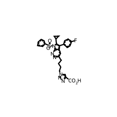 O=C(O)c1cn(CCCCc2cc3c(-c4ccc(F)cc4)c(C4CC4)n(S(=O)(=O)c4ccccc4)c3nn2)nn1